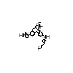 CC1Cc2cc(-c3cc[nH]n3)ccc2C(c2ccc(NC3CN(CCCF)C3)cn2)N1CC(F)(F)F